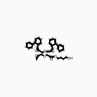 C(OCC1CO1)C1CO1.OCCCCO.c1ccc(-c2ccccc2C2OC2COCC2OC2c2ccccc2-c2ccccc2)cc1